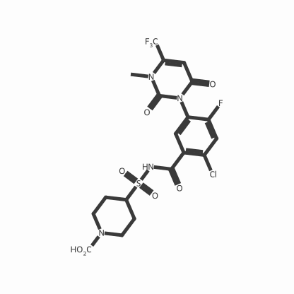 Cn1c(C(F)(F)F)cc(=O)n(-c2cc(C(=O)NS(=O)(=O)C3CCN(C(=O)O)CC3)c(Cl)cc2F)c1=O